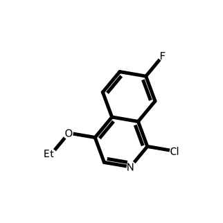 CCOc1cnc(Cl)c2cc(F)ccc12